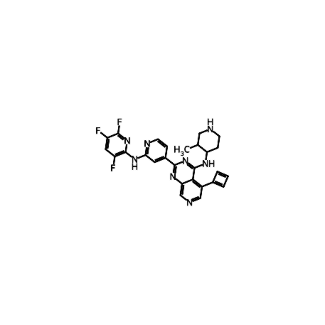 CC1CNCCC1Nc1nc(-c2ccnc(Nc3nc(F)c(F)cc3F)c2)nc2cncc(C3=CC=C3)c12